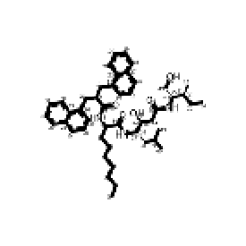 CCCCCCCC(NC(=O)C(Cc1cccc2ccccc12)Cc1cccc2ccccc12)C(=O)N[C@@H](CC(C)C)[C@@H](O)CC(=O)N[C@H](CO)[C@@H](C)CC